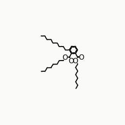 CCCCCCCCCc1cccc(C(=O)OCCCCCCCC)c1C(=O)OCCCCCCCC